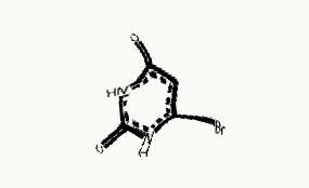 O=c1cc(Br)[nH]c(=O)[nH]1